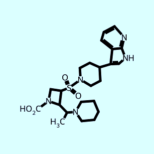 CC(C1C(S(=O)(=O)N2CCC(c3c[nH]c4ncccc34)CC2)CN1C(=O)O)N1CCCCC1